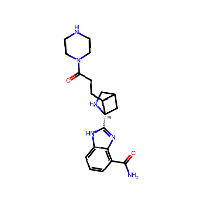 NC(=O)c1cccc2[nH]c([C@]34CC(CN3)C4CCC(=O)N3CCNCC3)nc12